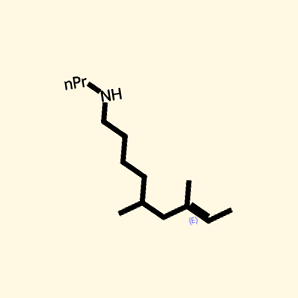 C/C=C(\C)CC(C)CCCCNCCC